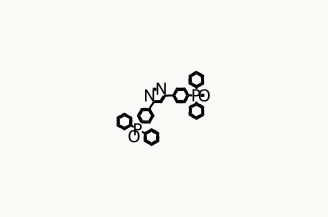 O=P(c1ccccc1)(c1ccccc1)c1ccc(-c2cc(-c3ccc(P(=O)(c4ccccc4)c4ccccc4)cc3)ncn2)cc1